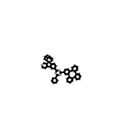 c1ccc(-c2nc(-c3ccc4c(c3)-c3ccccc3-c3ccccc3-c3ccccc3-4)nc(-c3ccc4c(c3)-c3ccncc3C43C4CC5CC(C4)CC3C5)n2)cc1